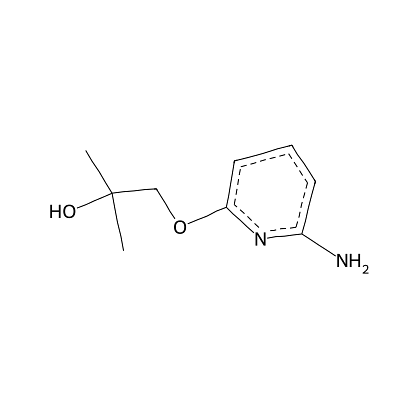 CC(C)(O)COc1cccc(N)n1